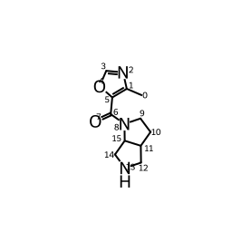 Cc1ncoc1C(=O)N1CCC2CNCC21